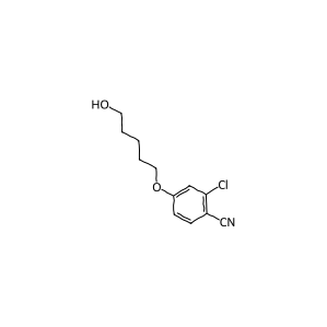 N#Cc1ccc(OCCCCCO)cc1Cl